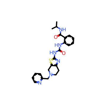 CC(C)NC(=O)c1ccccc1NC(=O)Nc1nc2c(s1)CN(Cc1ccccn1)CC2